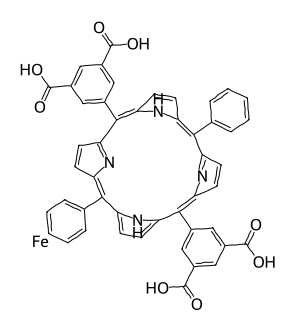 O=C(O)c1cc(C(=O)O)cc(-c2c3nc(c(-c4ccccc4)c4ccc([nH]4)c(-c4cc(C(=O)O)cc(C(=O)O)c4)c4nc(c(-c5ccccc5)c5ccc2[nH]5)C=C4)C=C3)c1.[Fe]